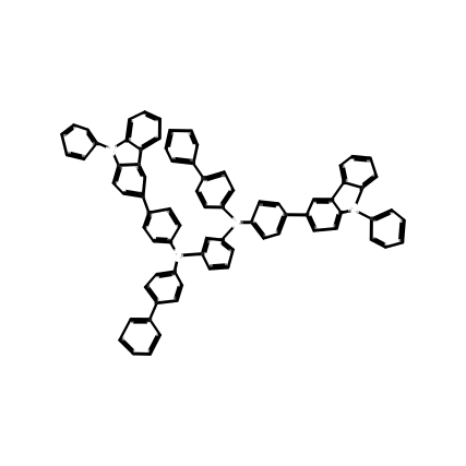 c1ccc(-c2ccc(N(c3ccc(-c4ccc5c(c4)c4ccccc4n5-c4ccccc4)cc3)c3cccc(N(c4ccc(-c5ccccc5)cc4)c4ccc(-c5ccc6c(c5)c5ccccc5n6-c5ccccc5)cc4)c3)cc2)cc1